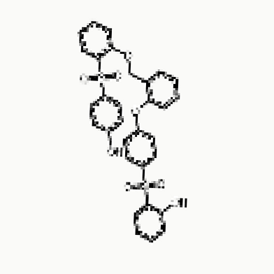 O=S(=O)(c1ccc(Oc2ccccc2COc2ccccc2S(=O)(=O)c2ccc(O)cc2)cc1)c1ccccc1O